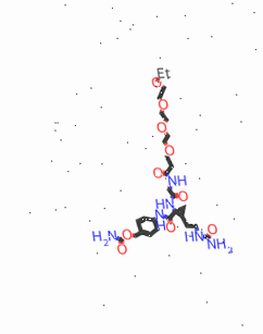 CCOCCOCCOCCOCCC(=O)NCC(=O)NC1(C(=O)NC2C=CC(COC(N)=O)=CC2)CC1CCNC(N)=O